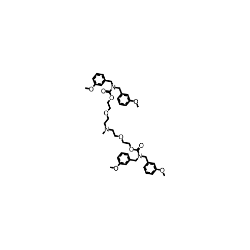 COc1cccc(CN(Cc2cccc(OC)c2)C(=O)OCCOCCN(C)CCOCCOC(=O)N(Cc2cccc(OC)c2)Cc2cccc(OC)c2)c1